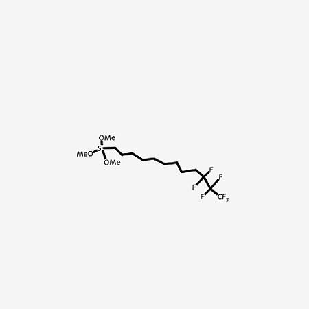 CO[Si](CCCCCCCCCC(F)(F)C(F)(F)C(F)(F)F)(OC)OC